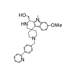 COc1ccc2c3c(n(C)c2c1)[C@H](CO)NCC31CCN(Cc2ccc(-c3ccccn3)cc2)CC1